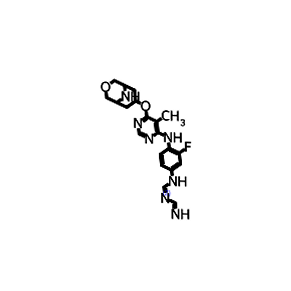 Cc1c(Nc2ccc(N/C=N\C=N)cc2F)ncnc1OC1CC2COCC(C1)N2